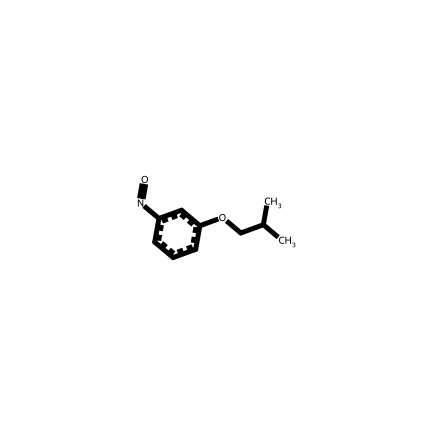 CC(C)COc1cccc(N=O)c1